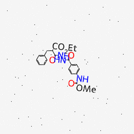 CCOC(=O)C(Cc1ccccc1)C(=O)NNC(=O)c1ccc(NC(=O)OC)cc1